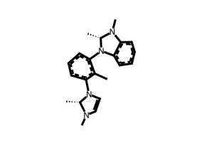 Cc1c(N2C=CN(C)[C@@H]2C)cccc1N1c2ccccc2N(C)[C@H]1C